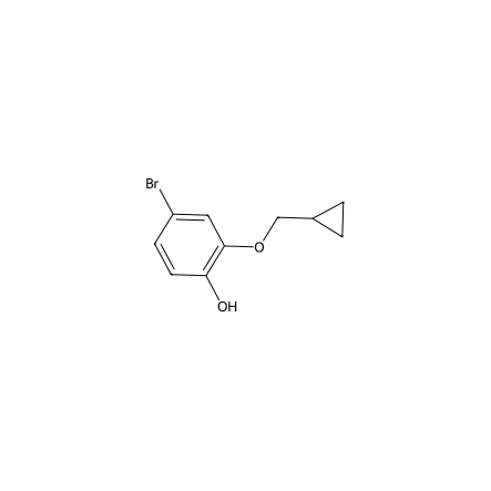 Oc1ccc(Br)cc1OCC1CC1